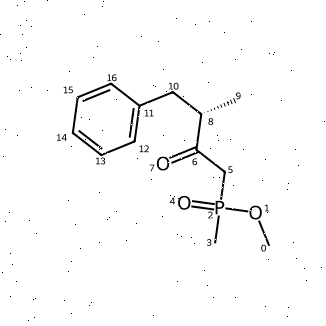 COP(C)(=O)CC(=O)[C@@H](C)Cc1ccccc1